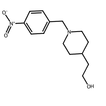 O=[N+]([O-])c1ccc(CN2CCC(CCO)CC2)cc1